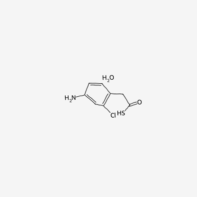 Nc1ccc(CC(=O)S)c(Cl)c1.O